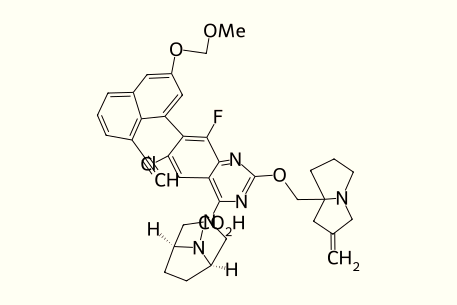 C#Cc1cccc2cc(OCOC)cc(-c3c(Cl)cc4c(N5C[C@H]6CC[C@@H](C5)N6C(=O)O)nc(OCC56CCCN5CC(=C)C6)nc4c3F)c12